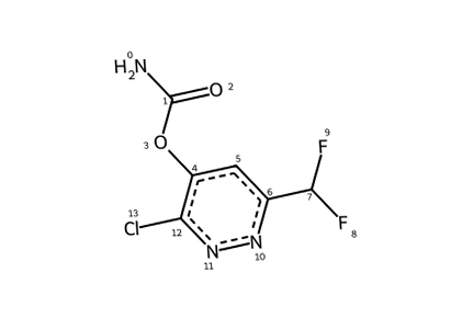 NC(=O)Oc1cc(C(F)F)nnc1Cl